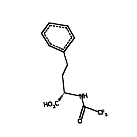 O=C(O)[C@H](CCc1ccccc1)NC(=O)C(F)(F)F